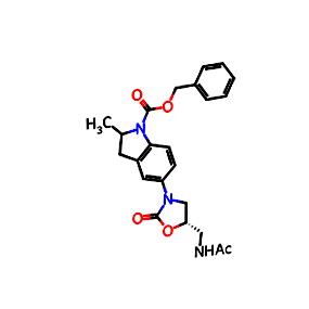 CC(=O)NC[C@H]1CN(c2ccc3c(c2)CC(C)N3C(=O)OCc2ccccc2)C(=O)O1